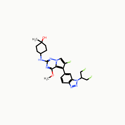 COc1nc(NC2CCC(C)(O)CC2)nn2cc(F)c(-c3ccc4nnn(C(CF)CF)c4c3)c12